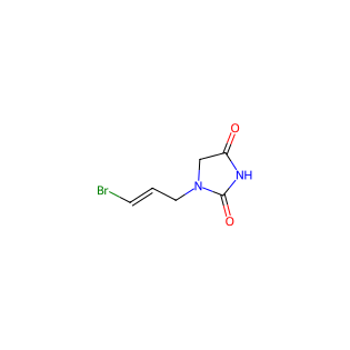 O=C1CN(CC=CBr)C(=O)N1